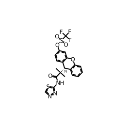 CC(C)(C(=O)Nc1nncs1)[C@H]1c2ccccc2Oc2cc(OS(=O)(=O)C(F)(F)F)ccc21